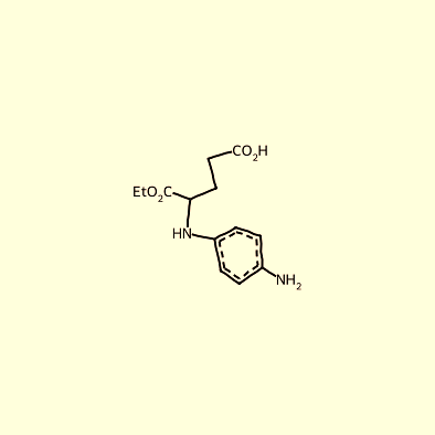 CCOC(=O)C(CCC(=O)O)Nc1ccc(N)cc1